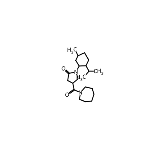 CC1CCC(C(C)C)C(N2CC(C(=O)N3CCCCCC3)CC2=O)C1